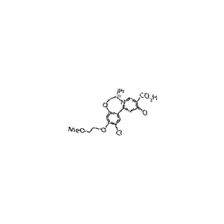 COCCOc1cc2c(cc1Cl)-c1cc(=O)c(C(=O)O)cn1[C@@H](C(C)C)CO2